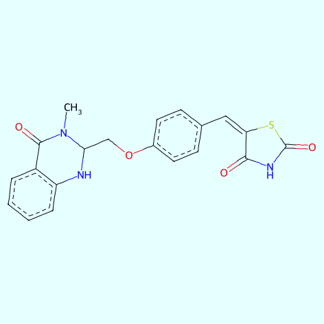 CN1C(=O)c2ccccc2NC1COc1ccc(C=C2SC(=O)NC2=O)cc1